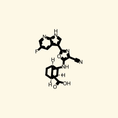 N#Cc1nc(-c2c[nH]c3ncc(F)cc23)oc1NC1[C@H]2CC[C@H](CC2)[C@@H]1C(=O)O